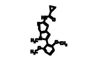 COc1cccc(OC)c1-c1cc2cc(NC(=O)C3CC3)ncc2n1C